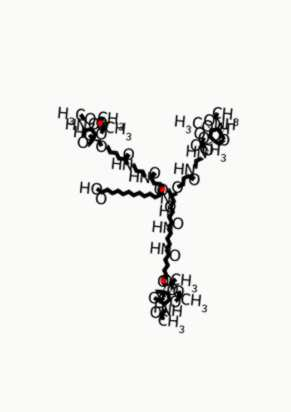 CC(=O)N[C@H]1[C@H]2OC[C@](COCCCCC(=O)NCCCNC(=O)CCOCC(COCCC(=O)NCCCNOC[C@@]34CO[C@@H](O3)[C@H](NC(C)=O)[C@@H](OC(C)=O)[C@H]4OC(C)=O)(COCCC(=O)NCCCNC(=O)CCCCOC[C@@]34CO[C@@H](O3)[C@H](NC(C)=O)[C@@H](OC(C)=O)[C@H]4OC(C)=O)NC(=O)CCCCCCCCCCC(=O)O)(O2)[C@H](OC(C)=O)[C@@H]1OC(C)=O